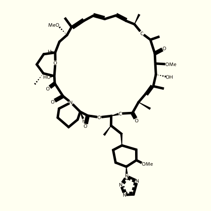 COC1C(=O)C(C)C[C@H](C)/C=C/C=C/C=C(\C)[C@@H](OC)C[C@@H]2CC[C@@H](C)[C@@](O)(O2)C(=O)C(=O)N2CCCC[C@H]2C(=O)O[C@H]([C@H](C)C[C@@H]2CC[C@H](n3ncnn3)C(OC)C2)CC(=O)[C@H](C)/C=C(\C)[C@H]1O